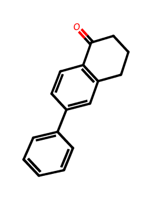 O=C1CCCc2cc(-c3ccccc3)ccc21